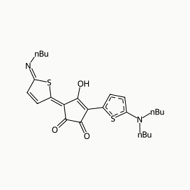 CCCC/N=C1C=C/C(=C2\C(=O)C(=O)C(c3ccc(N(CCCC)CCCC)s3)=C2O)S/1